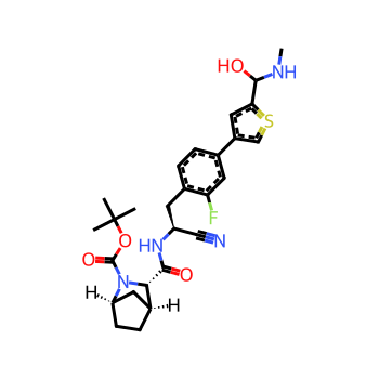 CNC(O)c1cc(-c2ccc(C[C@@H](C#N)NC(=O)[C@@H]3[C@H]4CC[C@H](C4)N3C(=O)OC(C)(C)C)c(F)c2)cs1